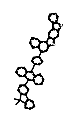 CC1(C)c2ccccc2-c2cc(-c3c4ccccc4c(-c4ccc(-c5cc6oc7cc8oc9ccccc9c8cc7c6c6ccccc56)cc4)c4ccccc34)ccc21